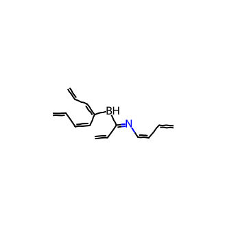 C=C/C=C\N=C(\BC(/C=C\C=C)=C/C=C)C=C